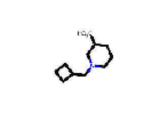 O=C(O)C1CCCN(CC2CCC2)C1